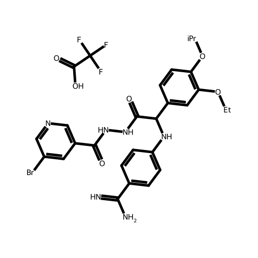 CCOc1cc(C(Nc2ccc(C(=N)N)cc2)C(=O)NNC(=O)c2cncc(Br)c2)ccc1OC(C)C.O=C(O)C(F)(F)F